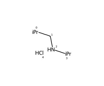 CC(C)CNC(C)C.Cl